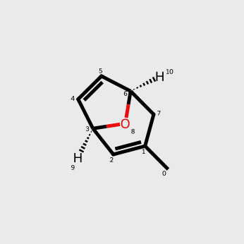 CC1=C[C@H]2C=C[C@@H](C1)O2